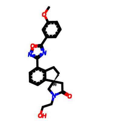 COc1cccc(-c2nc(-c3cccc4c3CC[C@@]43CC(=O)N(CCO)C3)no2)c1